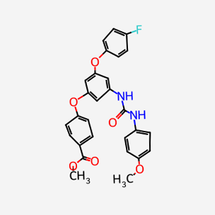 COC(=O)c1ccc(Oc2cc(NC(=O)Nc3ccc(OC)cc3)cc(Oc3ccc(F)cc3)c2)cc1